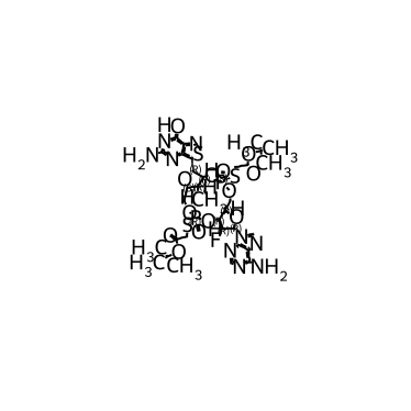 C[C@H]1[C@H]2O[P@@](=O)(SCC(=O)OC(C)(C)C)OC[C@H]3O[C@@H](n4cnc5c(N)ncnc54)[C@H](F)[C@@H]3O[P@](=O)(SCC(=O)OC(C)(C)C)OC[C@H]1O[C@H]2c1snc2c(=O)[nH]c(N)nc12